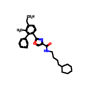 Cc1c(CC(=O)O)ccc(-c2nc(C(=O)NCCCCC3CCCCC3)co2)c1-c1ccccc1